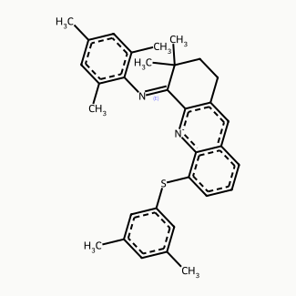 Cc1cc(C)cc(Sc2cccc3cc4c(nc23)/C(=N/c2c(C)cc(C)cc2C)C(C)(C)CC4)c1